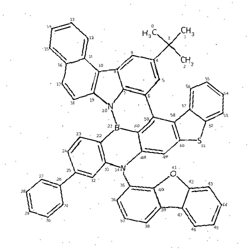 CC(C)(C)c1cc2c3c(c1)c1c4ccccc4ccc1n3B1c3ccc(-c4ccccc4)cc3N(c3cccc4c3oc3ccccc34)c3cc4sc5ccccc5c4c-2c31